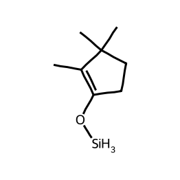 CC1=C(O[SiH3])CCC1(C)C